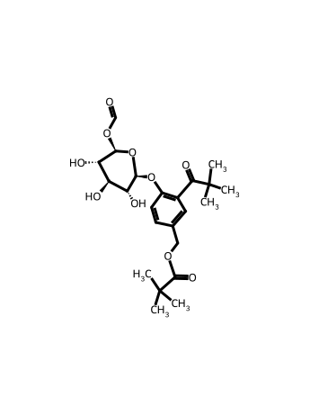 CC(C)(C)C(=O)OCc1ccc(O[C@@H]2O[C@H](OC=O)[C@@H](O)[C@H](O)[C@H]2O)c(C(=O)C(C)(C)C)c1